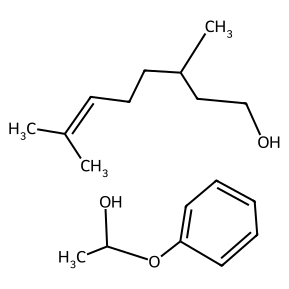 CC(C)=CCCC(C)CCO.CC(O)Oc1ccccc1